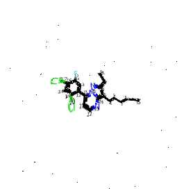 CCCCCc1c(CC)nn2c(-c3cc(F)c(Cl)cc3Cl)ccnc12